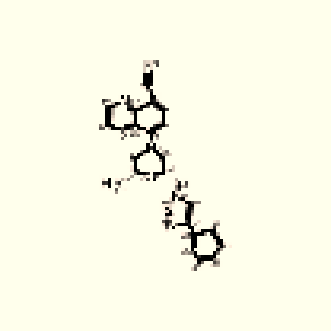 C[C@@H]1CN(c2ccc(C#N)c3ncccc23)C[C@H](Cn2cc(-c3ccccc3)nn2)O1